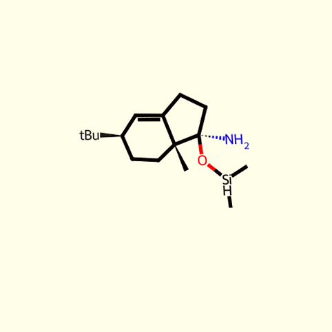 C[SiH](C)O[C@]1(N)CCC2=C[C@H](C(C)(C)C)CC[C@]21C